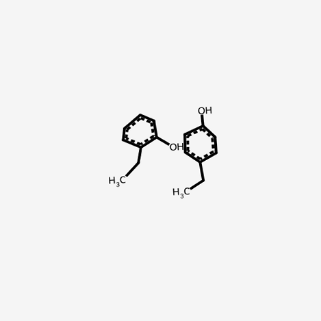 CCc1ccc(O)cc1.CCc1ccccc1O